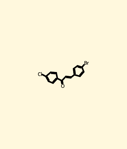 O=C(C=Cc1ccc(Br)cc1)c1ccc(Cl)cc1